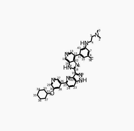 CN(C)CCNc1cc(F)cc(-c2cncc3[nH]c(-c4n[nH]c5ccc(-c6cncc(OC7CCCCC7)c6)nc45)nc23)c1